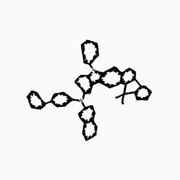 CC1(C)c2ccccc2-c2ccc3cc4c(cc3c21)c1cc(N(c2ccc(-c3ccccc3)cc2)c2ccc3ccccc3c2)ccc1n4-c1ccccc1